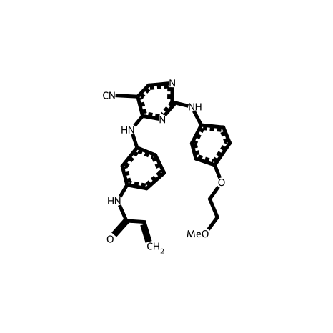 [C-]#[N+]c1cnc(Nc2ccc(OCCOC)cc2)nc1Nc1cccc(NC(=O)C=C)c1